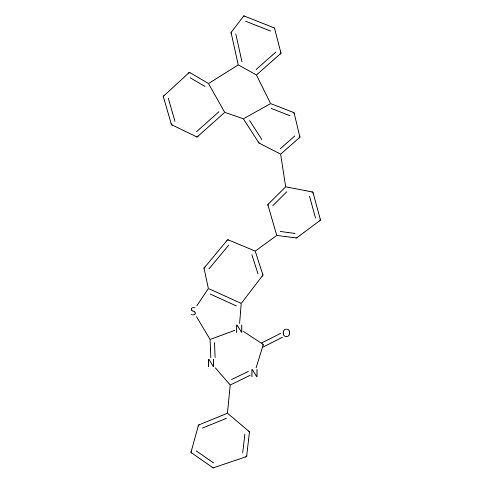 O=c1nc(-c2ccccc2)nc2sc3ccc(-c4cccc(-c5ccc6c7ccccc7c7ccccc7c6c5)c4)cc3n12